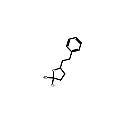 OC1(O)CCC(CCc2ccccc2)O1